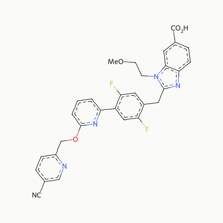 COCCn1c(Cc2cc(F)c(-c3cccc(OCc4ccc(C#N)cn4)n3)cc2F)nc2ccc(C(=O)O)cc21